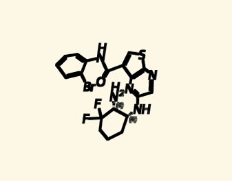 N[C@@H]1[C@H](Nc2cnc3scc(C(=O)Nc4ccccc4Br)c3n2)CCCC1(F)F